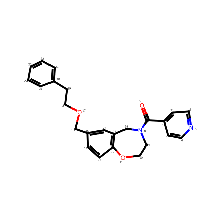 O=C(c1ccncc1)N1CCOc2ccc(COCCc3ccccc3)cc2C1